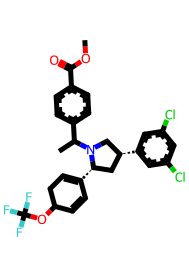 COC(=O)c1ccc(C(C)N2C[C@H](c3cc(Cl)cc(Cl)c3)C[C@@H]2C2=CCC(OC(F)(F)F)C=C2)cc1